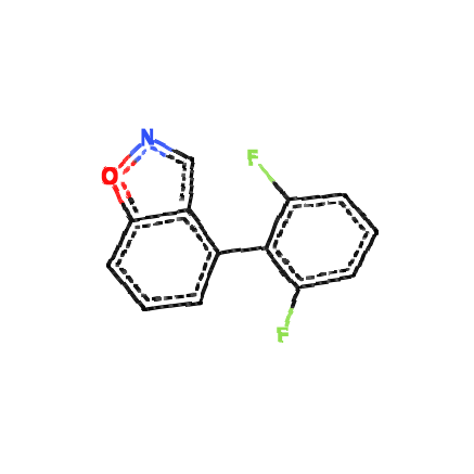 Fc1cccc(F)c1-c1cccc2oncc12